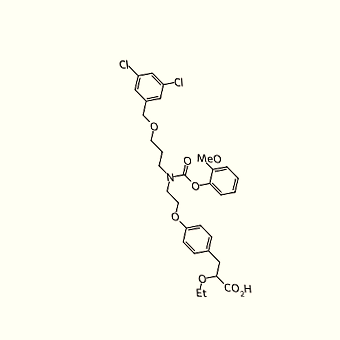 CCOC(Cc1ccc(OCCN(CCCOCc2cc(Cl)cc(Cl)c2)C(=O)Oc2ccccc2OC)cc1)C(=O)O